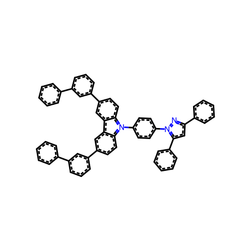 c1ccc(-c2cccc(-c3ccc4c(c3)c3cc(-c5cccc(-c6ccccc6)c5)ccc3n4-c3ccc(-n4nc(-c5ccccc5)cc4-c4ccccc4)cc3)c2)cc1